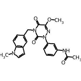 COc1nn(-c2cccc(NC(C)=O)c2)c(=O)n(Cc2ccc3c(ccn3C)c2)c1=O